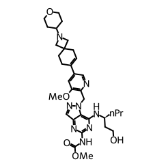 CCC[C@@H](CCO)Nc1nc(NC(=O)OC)nc2cnn(Cc3ncc(C4=CCC5(CC4)CN(C4CCOCC4)C5)cc3OC)c12